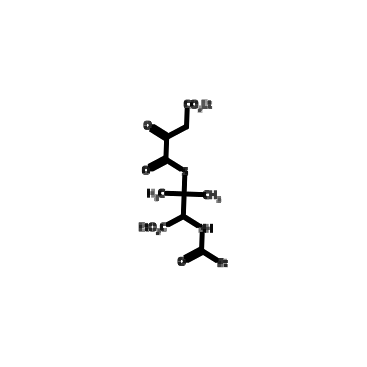 CCOC(=O)CC(=O)C(=O)SC(C)(C)C(NC(=O)CC)C(=O)OCC